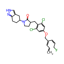 C=C/C=C(\C=C/CF)COc1cc(Cl)c(CC2CCN(C3CCc4n[nH]cc4C3)C2=O)c(Cl)c1